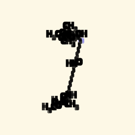 CCCCCC(OC(=O)C[N+](C)(C)OC(C)=O)C(O)C/C=C\CCCCCCCC(=O)NCCCCCCCCCCCCNC(=O)C[N+](C)(C)CCOC(C)=O